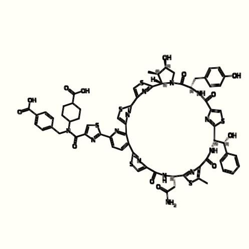 Cc1sc2nc1C(=O)N[C@@H]([C@H](O)c1ccccc1)c1nc(cs1)C(=O)N[C@@H](Cc1ccc(O)cc1)C(=O)N1C[C@H](O)[C@H](C)[C@H]1c1nc(cs1)-c1nc(cs1)-c1nc(-c3nc(C(=O)N(Cc4ccc(C(=O)O)cc4)C4CCC(C(=O)O)CC4)cs3)ccc1-c1nc(cs1)C(=O)N[C@H]2CC(N)=O